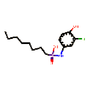 CCCCCCCCI(=O)(O)Nc1ccc(O)c(Cl)c1